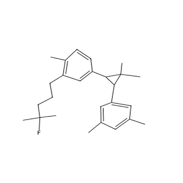 Cc1cc(C)cc(C2C(c3ccc(C)c(CCCC(C)(C)F)c3)C2(C)C)c1